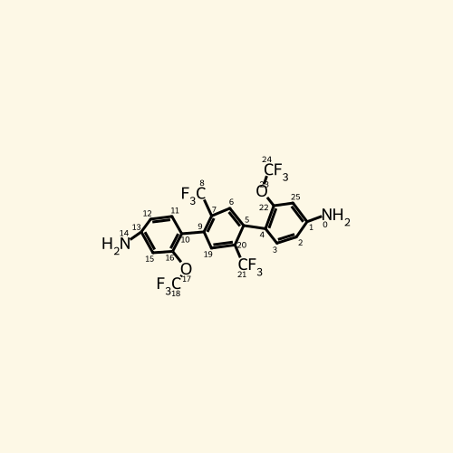 Nc1ccc(-c2cc(C(F)(F)F)c(-c3ccc(N)cc3OC(F)(F)F)cc2C(F)(F)F)c(OC(F)(F)F)c1